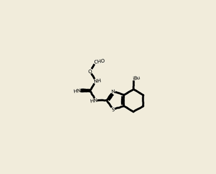 CCC(C)C1CCCc2sc(NC(=N)NOC=O)nc21